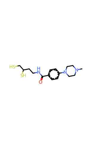 CN1CCN(c2ccc(C(=O)NCCC(S)CS)cc2)CC1